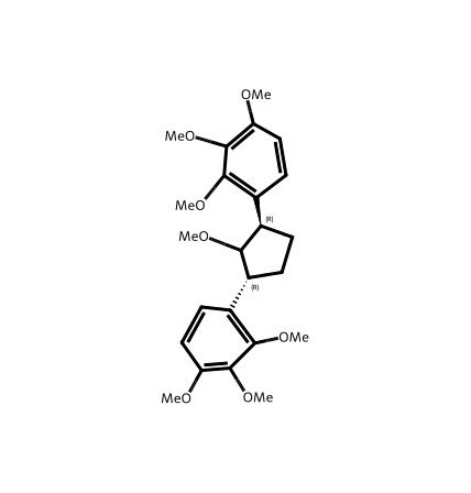 COc1ccc([C@H]2CC[C@H](c3ccc(OC)c(OC)c3OC)C2OC)c(OC)c1OC